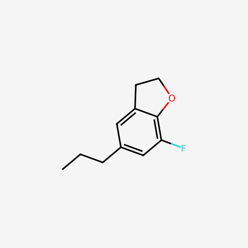 CCCc1cc(F)c2c(c1)CCO2